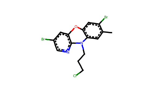 Cc1cc2c(cc1Br)Oc1cc(Br)cnc1N2CCCCl